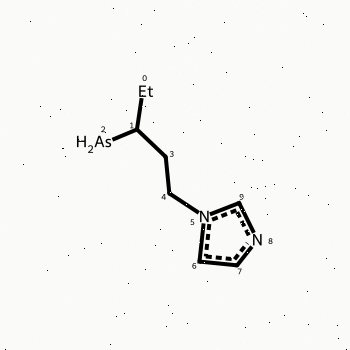 CCC([AsH2])CCn1ccnc1